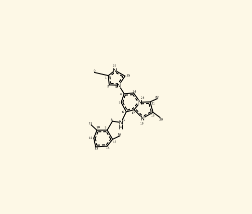 Cc1cn(-c2cc(NCc3c(C)cccc3C)c3nc(C)c(C)n3c2)cn1